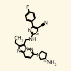 CCc1nc2ccc(N3CC[C@H](N)C3)nn2c1CNc1nc(-c2ccc(F)cc2)c(C#N)s1